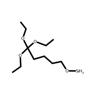 CCOC(CCCCO[SiH3])(OCC)OCC